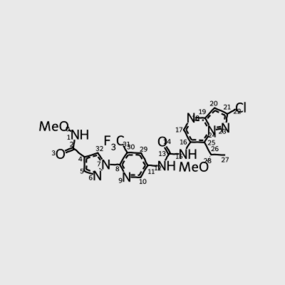 CONC(=O)c1cnn(-c2ncc(NC(=O)Nc3cnc4cc(Cl)nn4c3[C@H](C)OC)cc2C(F)(F)F)c1